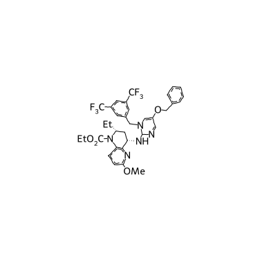 CCOC(=O)N1c2ccc(OC)nc2[C@@H](NC2N=CC(OCc3ccccc3)=CN2Cc2cc(C(F)(F)F)cc(C(F)(F)F)c2)C[C@H]1CC